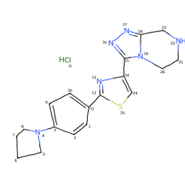 Cl.c1cc(N2CCCC2)ccc1-c1nc(-c2nnc3n2CCNC3)cs1